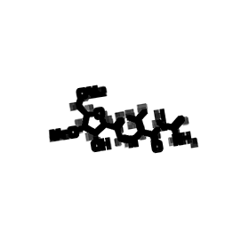 C=C(N)NC(=O)C(/N=C\C(=C)[C@@H]1O[C@H](COC)[C@H](OC)[C@@H]1O)=C(C)C